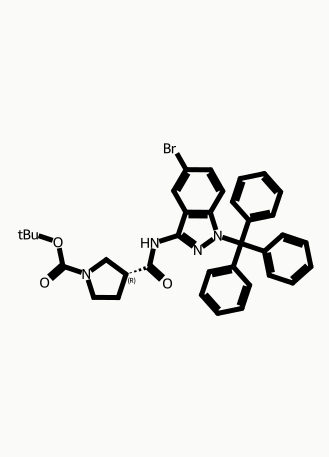 CC(C)(C)OC(=O)N1CC[C@@H](C(=O)Nc2nn(C(c3ccccc3)(c3ccccc3)c3ccccc3)c3ccc(Br)cc23)C1